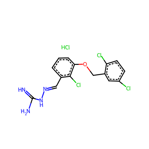 Cl.N=C(N)NN=Cc1cccc(OCc2cc(Cl)ccc2Cl)c1Cl